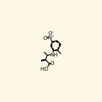 C=C(C(=O)O)C(C)Nc1cc([N+](=O)[O-])ccc1C